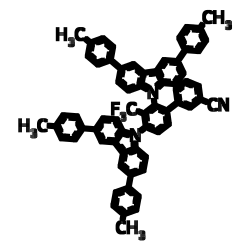 Cc1ccc(-c2ccc3c(c2)c2cc(-c4ccc(C)cc4)ccc2n3-c2ccc(-c3cccc(C#N)c3)c(-n3c4ccc(-c5ccc(C)cc5)cc4c4cc(-c5ccc(C)cc5)ccc43)c2C(F)(F)F)cc1